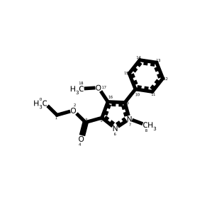 CCOC(=O)c1nn(C)c(-c2ccccc2)c1OC